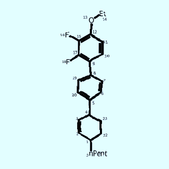 CCCCCC1C=CC(c2ccc(-c3ccc(OCC)c(F)c3F)cc2)CC1